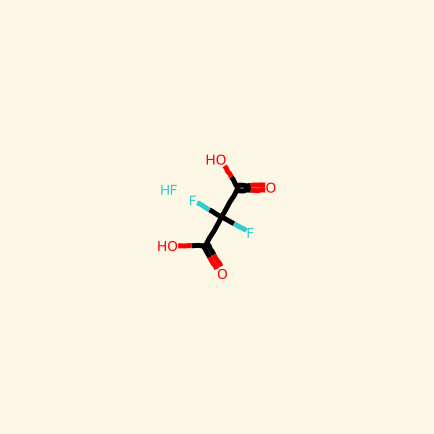 F.O=C(O)C(F)(F)C(=O)O